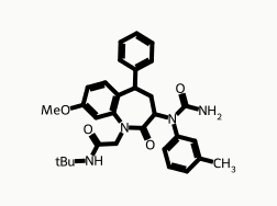 COc1ccc2c(c1)N(CC(=O)NC(C)(C)C)C(=O)C(N(C(N)=O)c1cccc(C)c1)CC2c1ccccc1